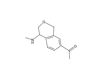 CNC1COCc2cc(C(C)=O)ccc21